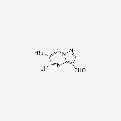 CC(C)(C)c1[c]n2ncc(C=O)c2nc1Cl